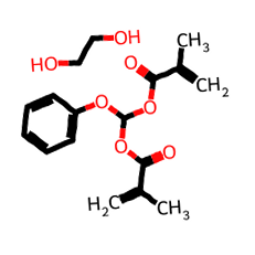 C=C(C)C(=O)OC(OC(=O)C(=C)C)Oc1ccccc1.OCCO